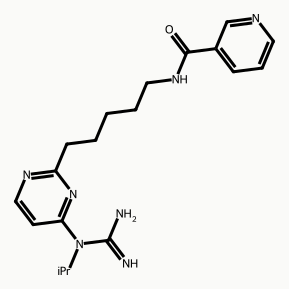 CC(C)N(C(=N)N)c1ccnc(CCCCCNC(=O)c2cccnc2)n1